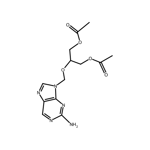 CC(=O)OCC(COC(C)=O)OCn1cnc2cnc(N)nc21